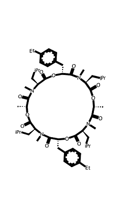 CCc1ccc(C[C@H]2OC(=O)[C@H](CC(C)C)N(C)C(=O)[C@@H](C)OC(=O)[C@H](CC(C)C)N(C)C(=O)[C@@H](Cc3ccc(CC)cc3)OC(=O)[C@H](CC(C)C)N(C)C(=O)[C@@H](C)OC(=O)[C@H](CC(C)C)N(C)C2=O)cc1